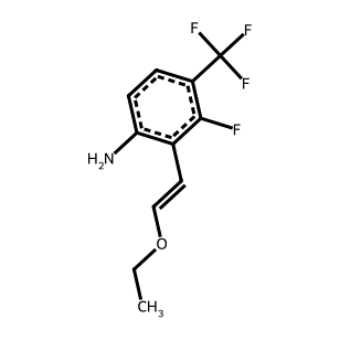 CCO/C=C/c1c(N)ccc(C(F)(F)F)c1F